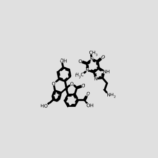 Cn1c(=O)c2[nH]c(CCN)nc2n(C)c1=O.O=C(O)c1cccc2c1C(=O)OC21c2ccc(O)cc2Oc2cc(O)ccc21